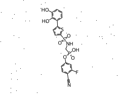 N#Cc1ccc(OP(=O)(O)CNS(=O)(=O)c2ccc(-c3cccc(O)c3O)s2)cc1F